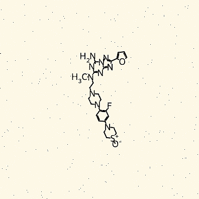 CN(CCN1CCN(c2ccc(N3CC[S+]([O-])CC3)cc2F)CC1)c1nc(N)n2nc(-c3ccco3)nc2n1